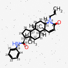 C=CCN1C(=O)C=C[C@]2(C)[C@H]3CC[C@]4(C)[C@@H](C(=O)Nc5ccccc5)CC[C@H]4[C@@H]3CC[C@@H]12